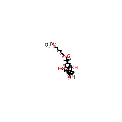 CC(C)(C(=O)OCCCCCCO[N+](=O)[O-])c1cc(O)c([C@H]2CC(=O)[C@H]3C[C@H]2C3(C)C)c(O)c1